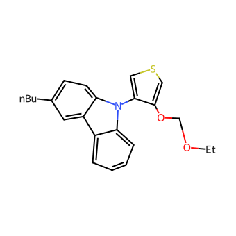 CCCCc1ccc2c(c1)c1ccccc1n2-c1cscc1OCOCC